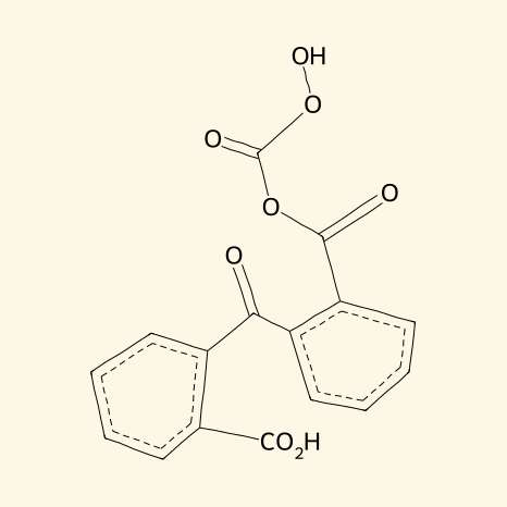 O=C(OO)OC(=O)c1ccccc1C(=O)c1ccccc1C(=O)O